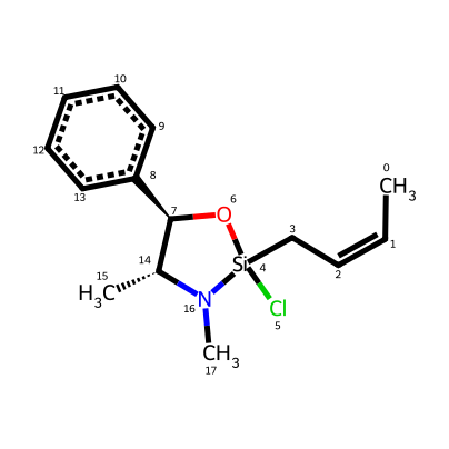 C/C=C\C[Si]1(Cl)O[C@H](c2ccccc2)[C@@H](C)N1C